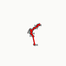 COC(CNC(=O)CNC(=O)COCCOCCNC(=O)COCCOCCNC(=O)[C@H](CCC(=O)O)NC(=O)CC[C@H](NC(=O)C1CCC(CNC(=O)CCCCCCCCCCCCCCCCCCC(=O)O)CC1)C(=O)O)OC